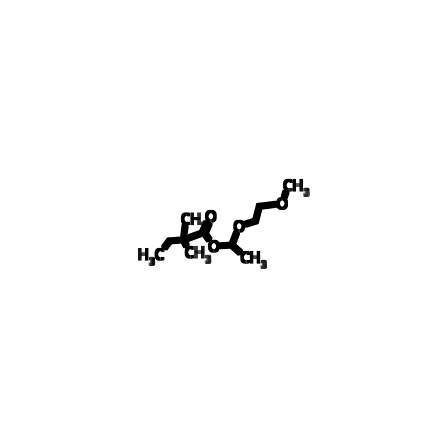 CCC(C)(C)C(=O)OC(C)OCCOC